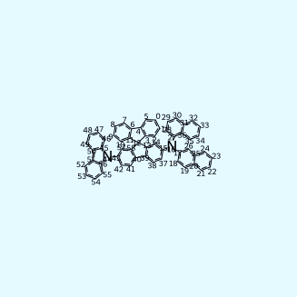 c1ccc2c(c1)-c1ccccc1C21c2cc(N(c3ccc4ccccc4c3)c3cccc4ccccc34)ccc2-c2ccc(-n3c4ccccc4c4ccccc43)cc21